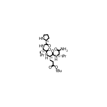 CC(C)C[C@H](NC(=O)[C@@H]1CCCN1)C(=O)N[C@@H](CCC(=O)OC(C)(C)C)C(=O)N[C@H](C(N)=O)C(C)C